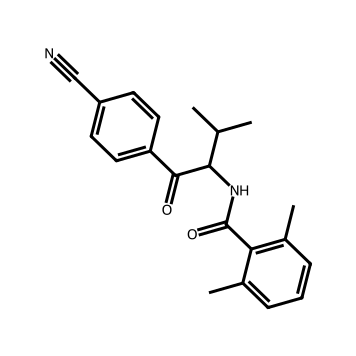 Cc1cccc(C)c1C(=O)NC(C(=O)c1ccc(C#N)cc1)C(C)C